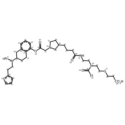 CCCN(CCc1cccs1)C1CCc2c(cccc2OC(=O)CN2CCC(CCCC(=O)NCCN(CCSCCC(=O)O)C(=O)CC)C2)C1